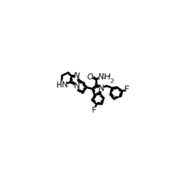 NC(=O)c1c(-c2ccn3c4c(nc3c2)CCCN4)c2cc(F)ccc2n1Cc1cccc(F)c1